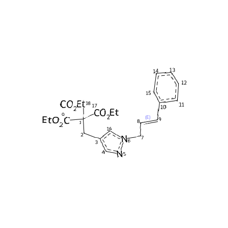 CCOC(=O)C(Cc1cnn(C/C=C/c2ccccc2)c1)(C(=O)OCC)C(=O)OCC